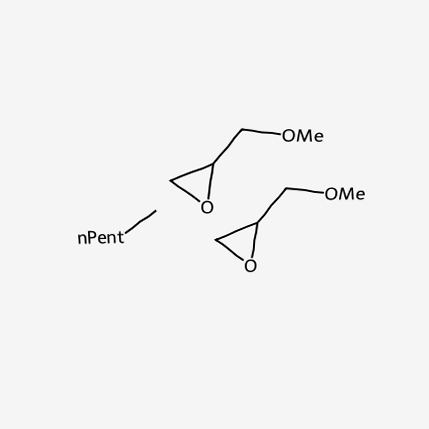 CCCCCC.COCC1CO1.COCC1CO1